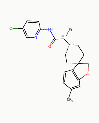 CC[C@@H](C(=O)Nc1ccc(Cl)cn1)[C@H]1CC[C@]2(CC1)COc1cc(C(F)(F)F)ccc12